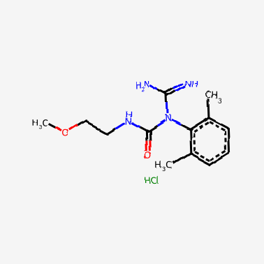 COCCNC(=O)N(C(=N)N)c1c(C)cccc1C.Cl